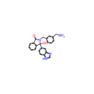 NCc1cccc(CN2C(=O)c3ccccc3C2(O)c2ccc3[nH][c]nc3c2)c1